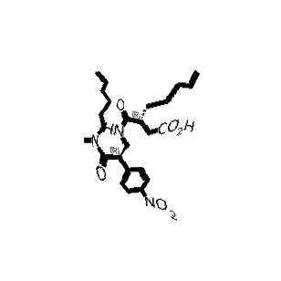 C=CCCCCN(C)C(=O)[C@@H](CNC(=O)[C@H](CCCC=C)CC(=O)O)c1ccc([N+](=O)[O-])cc1